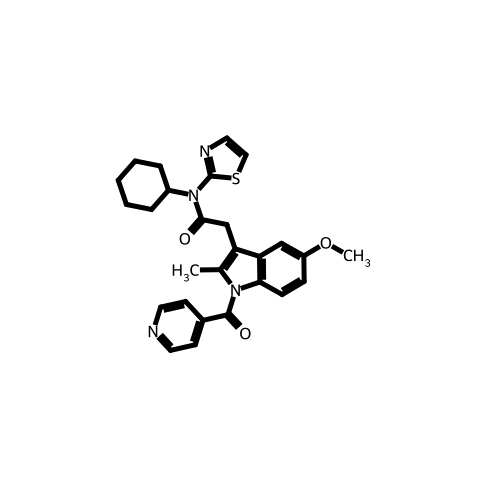 COc1ccc2c(c1)c(CC(=O)N(c1nccs1)C1CCCCC1)c(C)n2C(=O)c1ccncc1